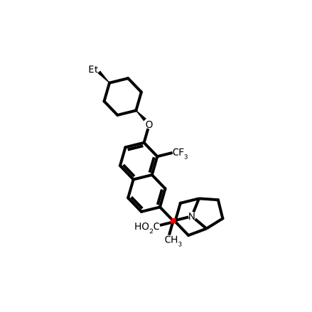 CC[C@H]1CC[C@@H](Oc2ccc3ccc(C(C)N4C5CCC4CC(C(=O)O)C5)cc3c2C(F)(F)F)CC1